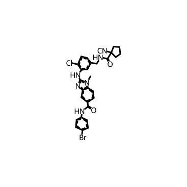 [C-]#[N+]C1(C(=O)NCc2ccc(Cl)c(Nc3nc4cc(C(=O)Nc5ccc(Br)cc5)ccc4n3C)c2)CCCC1